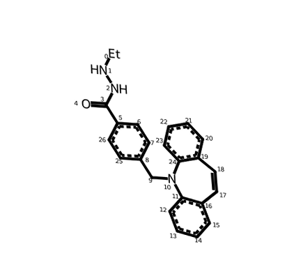 CCNNC(=O)c1ccc(CN2c3ccccc3C=Cc3ccccc32)cc1